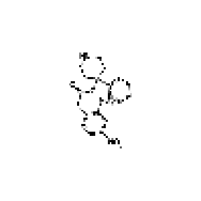 O=C(Cc1ccc([N+](=O)[O-])cc1[N+](=O)[O-])OC1(c2ccccc2)CCNCC1